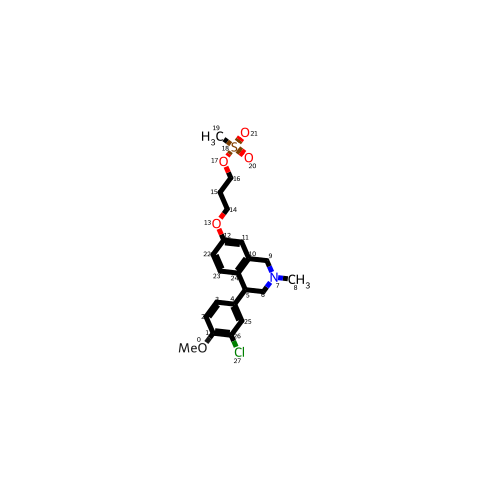 COc1ccc(C2CN(C)Cc3cc(OCCCOS(C)(=O)=O)ccc32)cc1Cl